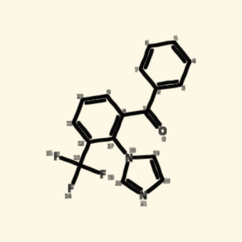 O=C(c1ccccc1)c1cccc(C(F)(F)F)c1-n1ccnc1